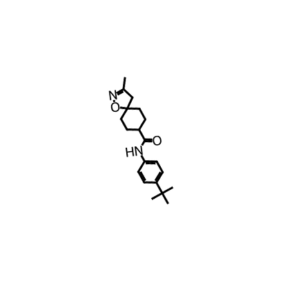 CC1=NOC2(CCC(C(=O)Nc3ccc(C(C)(C)C)cc3)CC2)C1